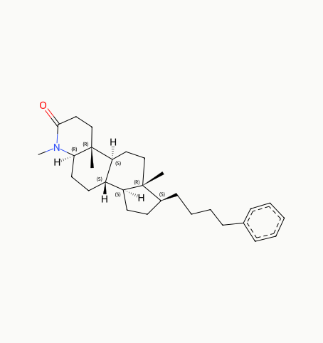 CN1C(=O)CC[C@]2(C)[C@H]3CC[C@]4(C)[C@@H](CCCCc5ccccc5)CC[C@H]4[C@@H]3CC[C@@H]12